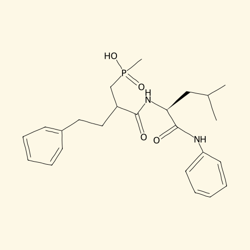 CC(C)C[C@H](NC(=O)C(CCc1ccccc1)CP(C)(=O)O)C(=O)Nc1ccccc1